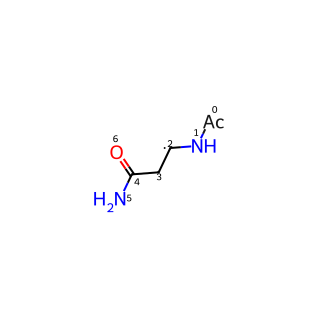 CC(=O)N[CH]CC(N)=O